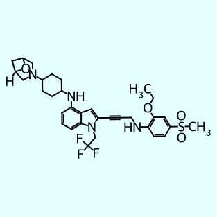 CCOc1cc(S(C)(=O)=O)ccc1NCC#Cc1cc2c(NC3CCC(N4CC5C[C@@H](C4)O5)CC3)cccc2n1CC(F)(F)F